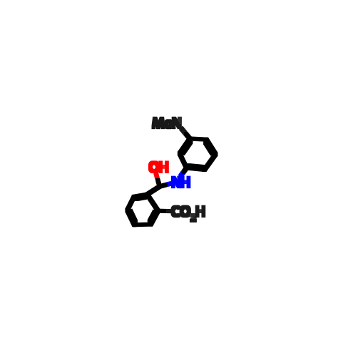 CNc1cccc(NC(O)c2ccccc2C(=O)O)c1